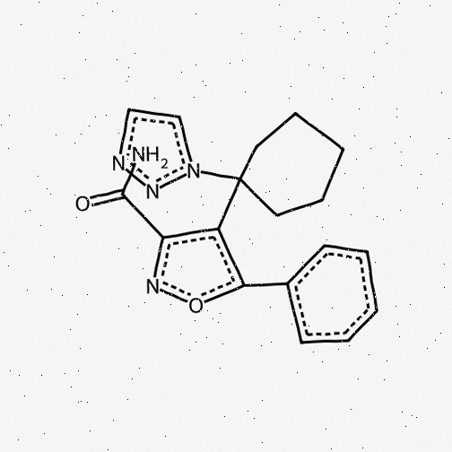 NC(=O)c1noc(-c2ccccc2)c1C1(n2ccnn2)CCCCC1